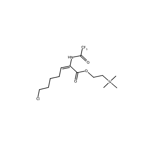 C[Si](C)(C)CCOC(=O)C(=CCCCCCl)NC(=O)C(F)(F)F